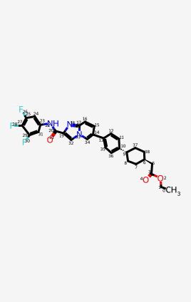 CCOC(=O)C[C@H]1CC[C@H](c2ccc(-c3ccc4nc(C(=O)Nc5cc(F)c(F)c(F)c5)cn4c3)cc2)CC1